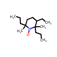 CCCC1(C)CCC(CC)C(C)(CCC)N1[O]